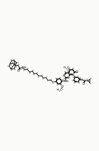 COc1cc(OCCCCCCCCCCCCNC(=O)CC23CC4CC(CC(C4)C2)C3)ccc1Nc1ncc2c(C)cc(=O)n(-c3cccc(NC(=O)C4CC4)c3)c2n1